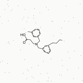 CCCCc1cccc(CN(CCC(=O)O)Cc2cccc(C)c2)c1